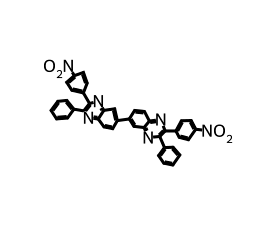 O=[N+]([O-])c1ccc(-c2nc3ccc(-c4ccc5nc(-c6ccccc6)c(-c6ccc([N+](=O)[O-])cc6)nc5c4)cc3nc2-c2ccccc2)cc1